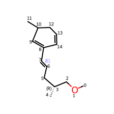 COC[C@H](C)C/C=C/C1=CC(C)CC=C1